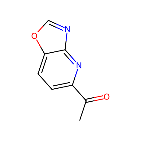 CC(=O)c1ccc2ocnc2n1